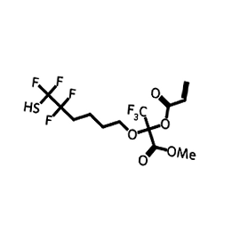 C=CC(=O)OC(OCCCCC(F)(F)C(F)(F)S)(C(=O)OC)C(F)(F)F